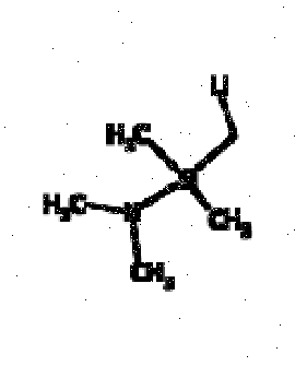 [Li][CH2][Si](C)(C)N(C)C